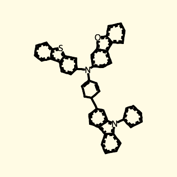 C1=CC(c2ccc3c4ccccc4n(-c4ccccc4)c3c2)CC=C1N(c1ccc2c(c1)oc1ccccc12)c1ccc2c(c1)sc1ccccc12